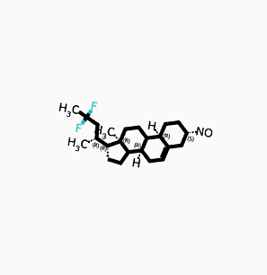 C[C@H](CC(C)(F)F)[C@H]1CCC2[C@@H]3CC=C4C[C@@H](N=O)CC[C@@H]4C3CC[C@@]21C